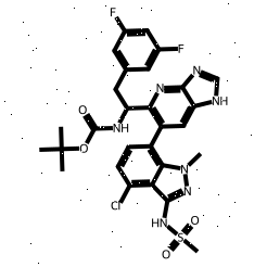 Cn1nc(NS(C)(=O)=O)c2c(Cl)ccc(-c3cc4[nH]cnc4nc3C(Cc3cc(F)cc(F)c3)NC(=O)OC(C)(C)C)c21